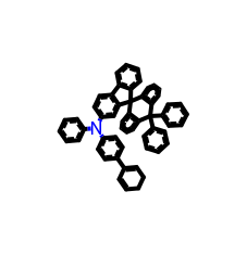 C1=CC(c2ccc(N(c3ccccc3)c3ccc4c(c3)C3(c5ccccc5-4)c4ccccc4C(c4ccccc4)(c4ccccc4)c4ccccc43)cc2)=CCC1